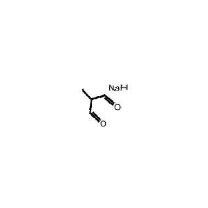 CC(C=O)C=O.[NaH]